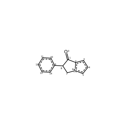 O=C1c2cccn2CC1c1ccccc1